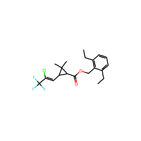 CCc1cccc(CC)c1COC(=O)C1C(C=C(Cl)C(F)(F)F)C1(C)C